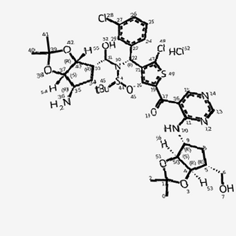 CC1(C)O[C@@H]2[C@@H](CO)C[C@@H](Nc3ncncc3C(=O)c3cc([C@@H](c4cccc(Cl)c4)N(C(O)[C@@H]4C[C@@H](N)[C@@H]5OC(C)(C)O[C@@H]54)[S+]([O-])C(C)(C)C)c(Cl)s3)[C@@H]2O1.Cl